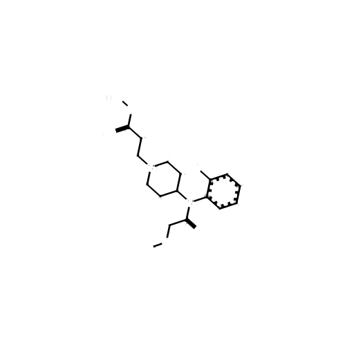 COCC(=O)N(c1ccccc1F)C1CCN(CCC(=O)OC)CC1